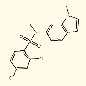 CN(c1ccc2ccn(C)c2c1)S(=O)(=O)c1ccc(Cl)cc1Cl